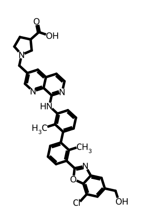 Cc1c(Nc2nccc3cc(CN4CCC(C(=O)O)C4)cnc23)cccc1-c1cccc(-c2nc3cc(CO)cc(Cl)c3o2)c1C